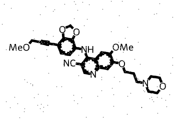 COCC#Cc1ccc(Nc2c(C#N)cnc3cc(OCCCN4CCOCC4)c(OC)cc23)c2c1OCO2